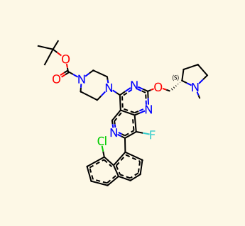 CN1CCC[C@H]1COc1nc(N2CCN(C(=O)OC(C)(C)C)CC2)c2cnc(-c3cccc4cccc(Cl)c34)c(F)c2n1